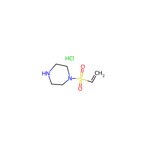 C=CS(=O)(=O)N1CCNCC1.Cl